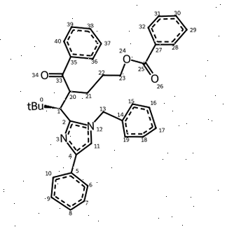 CC(C)(C)[C@H](c1nc(-c2ccccc2)cn1Cc1ccccc1)C(CCCOC(=O)c1ccccc1)C(=O)c1ccccc1